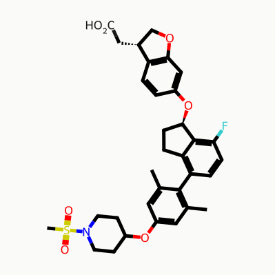 Cc1cc(OC2CCN(S(C)(=O)=O)CC2)cc(C)c1-c1ccc(F)c2c1CC[C@H]2Oc1ccc2c(c1)OC[C@H]2CC(=O)O